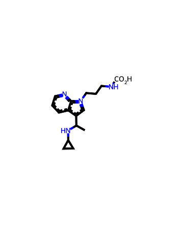 CC(NC1CC1)c1cn(CCCNC(=O)O)c2ncccc12